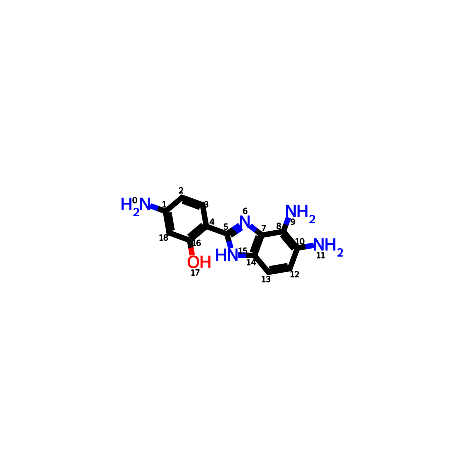 Nc1ccc(-c2nc3c(N)c(N)ccc3[nH]2)c(O)c1